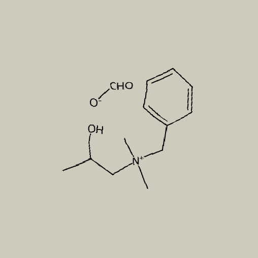 CC(O)C[N+](C)(C)Cc1ccccc1.O=C[O-]